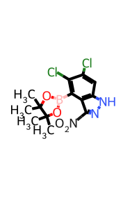 CC1(C)OB(c2c(Cl)c(Cl)cc3[nH]nc([N+](=O)[O-])c23)OC1(C)C